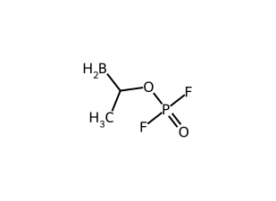 BC(C)OP(=O)(F)F